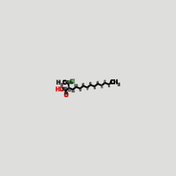 CCCCCCCCCCCCC(C(=O)O)C(C)Cl